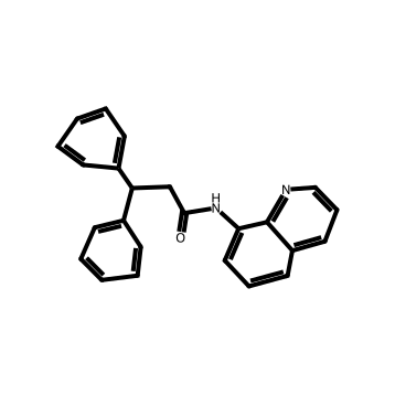 O=C(CC(c1ccccc1)c1ccccc1)Nc1cccc2cccnc12